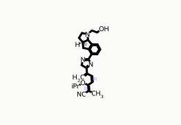 C=C(/C=C\C(OC(C)C)=C(/C)C#N)C1=NC(c2cccc3c2C[C@H]2CCN(CCO)C32)=NC1